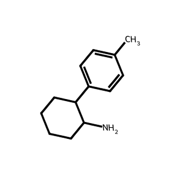 Cc1ccc(C2CCCCC2N)cc1